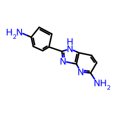 Nc1ccc(-c2nc3nc(N)ccc3[nH]2)cc1